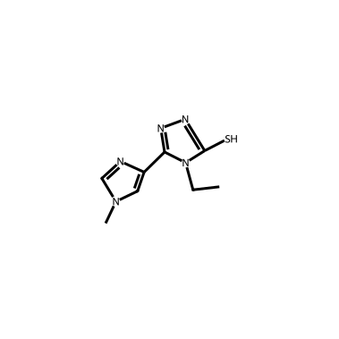 CCn1c(S)nnc1-c1cn(C)cn1